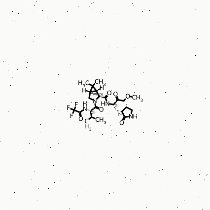 COCC(=O)[C@H](C[C@@H]1CCNC1=O)NC(=O)[C@@H]1[C@@H]2[C@H](CN1C(=O)[C@@H](NC(=O)C(F)(F)F)C(C)C)C2(C)C